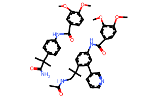 COc1ccc(C(=O)Nc2ccc(C(C)(C)C(N)=O)cc2)cc1OC.COc1ccc(C(=O)Nc2ccc(C(C)(C)CNC(C)=O)c(-c3cccnc3)c2)cc1OC